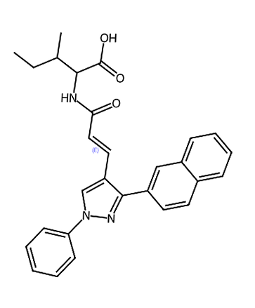 CCC(C)C(NC(=O)/C=C/c1cn(-c2ccccc2)nc1-c1ccc2ccccc2c1)C(=O)O